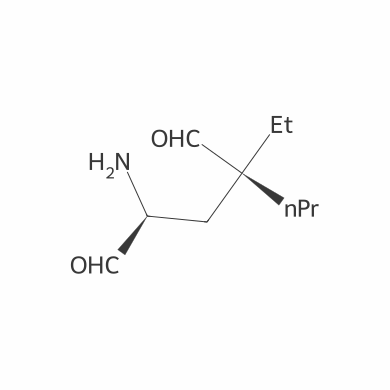 CCC[C@@](C=O)(CC)C[C@H](N)C=O